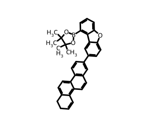 CC1(C)OB(c2cccc3oc4ccc(-c5ccc6c(ccc7c8c(ccc76)CCC=C8)c5)cc4c23)OC1(C)C